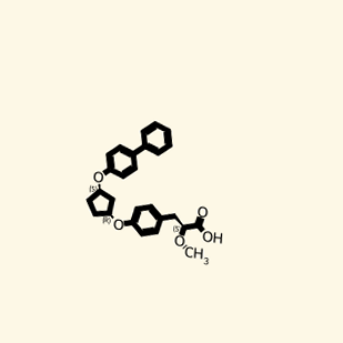 CO[C@@H](Cc1ccc(O[C@@H]2CC[C@H](Oc3ccc(-c4ccccc4)cc3)C2)cc1)C(=O)O